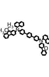 CC1(C)c2ccccc2-c2ccc(N(c3ccc(-c4ccc(-c5ccc(N(c6ccc7c(c6)oc6ccccc67)c6cccc7ccccc67)cc5)cc4)cc3)c3cccc4ccccc34)cc21